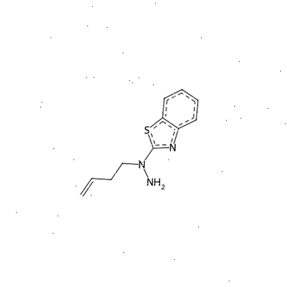 C=CCCN(N)c1nc2ccccc2s1